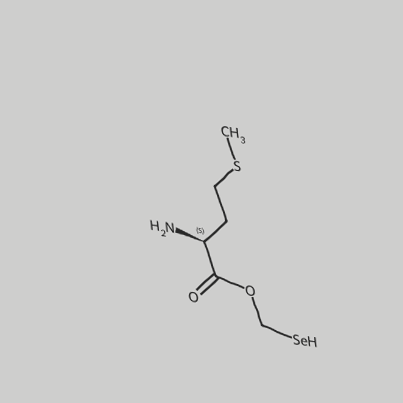 CSCC[C@H](N)C(=O)OC[SeH]